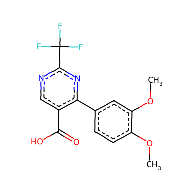 COc1ccc(-c2nc(C(F)(F)F)ncc2C(=O)O)cc1OC